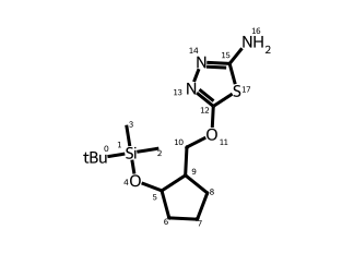 CC(C)(C)[Si](C)(C)OC1CCCC1COc1nnc(N)s1